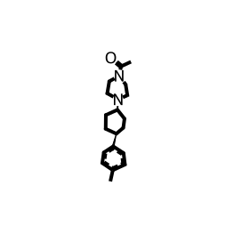 CC(=O)N1CCN([C@H]2CC[C@H](c3ccc(C)cc3)CC2)CC1